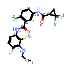 CCNc1c(F)ccc(NC(=O)c2cc(NC(=O)C3CC3(Cl)Cl)ccc2Cl)c1F